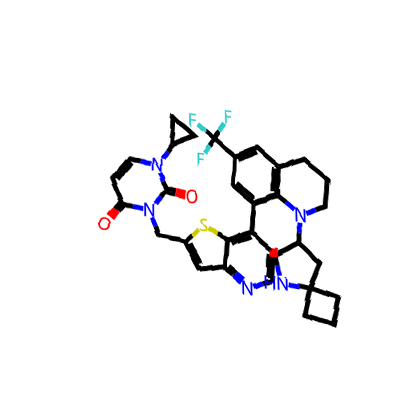 O=c1ccn(C2CC2)c(=O)n1Cc1cc2nccc(-c3cc(C(F)(F)F)cc4c3N(C3CNC5(CCC5)C3)CCC4)c2s1